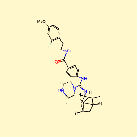 COc1ccc(CCNC(=O)c2ccc(N/C(=N/[C@H]3C[C@H]4C[C@@H]([C@@H]3C)C4(C)C)N3C[C@@H](C)N[C@@H](C)C3)cc2)c(F)c1